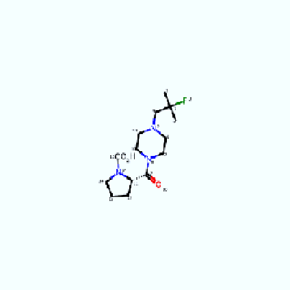 CC(C)(F)CN1CCN(C(=O)[C@@H]2CCCN2C(=O)O)CC1